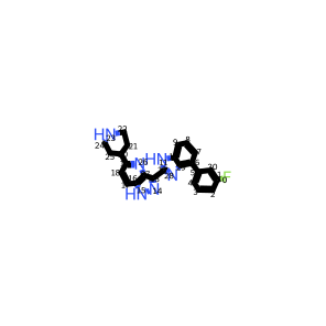 Fc1cccc(-c2cccc3[nH]c(-c4n[nH]c5ccc(C6CCNCC6)nc45)nc23)c1